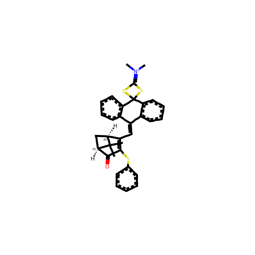 C[N+](C)=C1SC2(S1)c1ccccc1C(=CC1=C(Sc3ccccc3)C(=O)[C@H]3C[C@@H]1C3(C)C)c1ccccc12